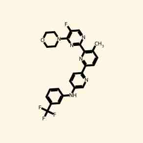 Cc1ccc(-c2ccc(Nc3cccc(C(F)(F)F)c3)cn2)nc1-c1ncc(F)c(N2CCOCC2)n1